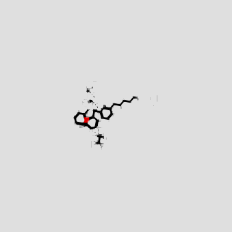 O=C(O)CCCCCc1cccc([C@@](Cc2ccccc2)(NC(=O)NCC(F)(F)F)c2cc(F)cc(OC(F)(F)C(F)F)c2)c1